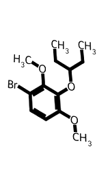 CCC(CC)Oc1c(OC)ccc(Br)c1OC